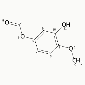 COc1ccc(OC=O)cc1O